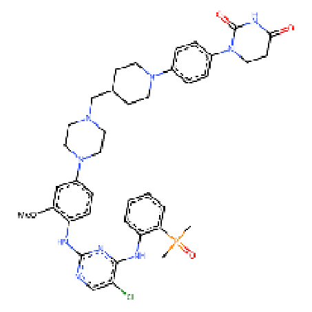 COc1cc(N2CCN(CC3CCN(c4ccc(N5CCC(=O)NC5=O)cc4)CC3)CC2)ccc1Nc1ncc(Cl)c(Nc2ccccc2P(C)(C)=O)n1